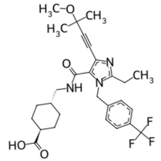 CCc1nc(C#CC(C)(C)OC)c(C(=O)NC[C@H]2CC[C@H](C(=O)O)CC2)n1Cc1ccc(C(F)(F)F)cc1